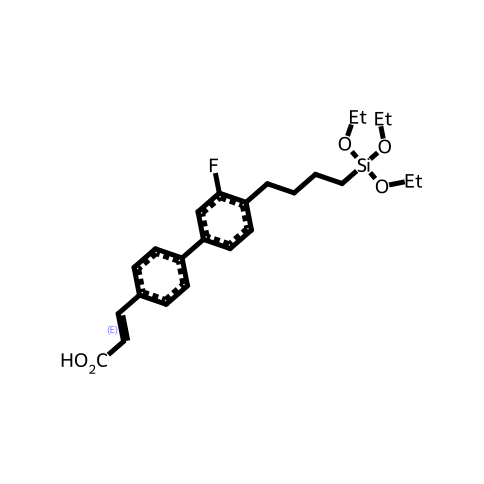 CCO[Si](CCCCc1ccc(-c2ccc(/C=C/C(=O)O)cc2)cc1F)(OCC)OCC